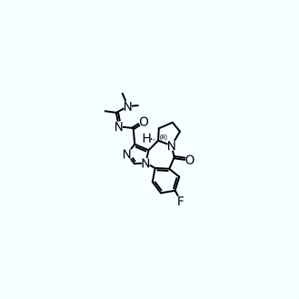 CC(=NC(=O)c1ncn2c1[C@H]1CCCN1C(=O)c1cc(F)ccc1-2)N(C)C